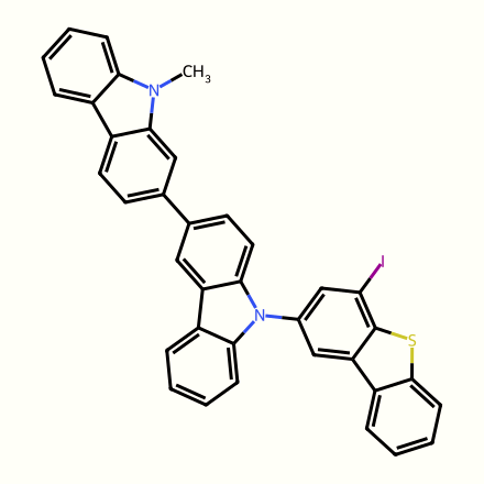 Cn1c2ccccc2c2ccc(-c3ccc4c(c3)c3ccccc3n4-c3cc(I)c4sc5ccccc5c4c3)cc21